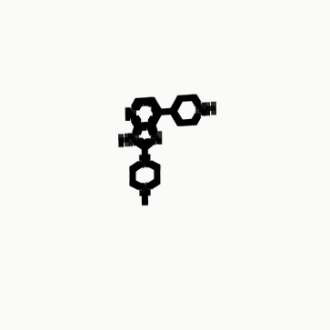 CN1CCN(c2nc3c(C4CCNCC4)ccnc3[nH]2)CC1